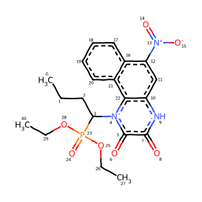 CCCC(n1c(=O)c(=O)[nH]c2cc([N+](=O)[O-])c3ccccc3c21)P(=O)(OCC)OCC